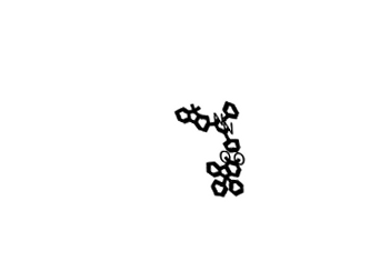 CC1(C)c2ccccc2-c2ccc(-c3cc(-c4ccc5c(c4)Oc4c(ccc6c4-c4ccccc4C6(c4ccccc4)c4ccccc4)O5)nc(-c4ccccc4)n3)cc21